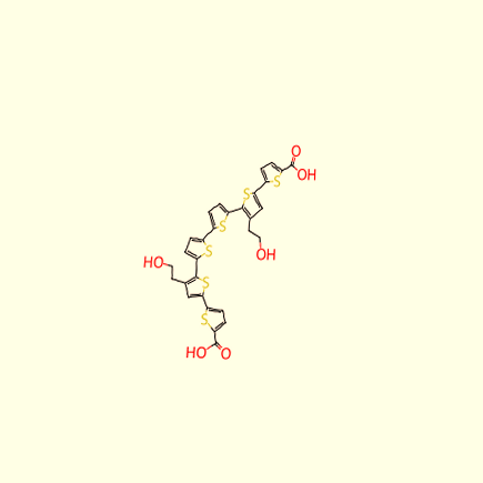 O=C(O)c1ccc(-c2cc(CCO)c(-c3ccc(-c4ccc(-c5sc(-c6ccc(C(=O)O)s6)cc5CCO)s4)s3)s2)s1